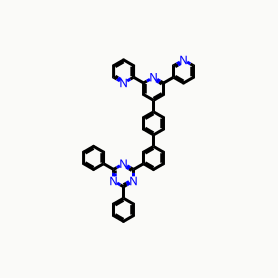 c1ccc(-c2nc(-c3ccccc3)nc(-c3cccc(-c4ccc(-c5cc(-c6cccnc6)nc(-c6ccccn6)c5)cc4)c3)n2)cc1